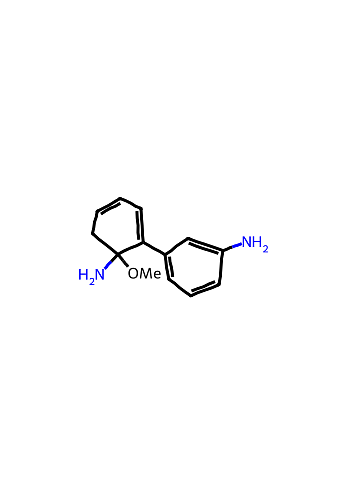 COC1(N)CC=CC=C1c1cccc(N)c1